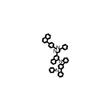 c1ccc(-c2cc(-c3cc(-n4c5ccccc5c5cc6c7ccccc7n(-c7ccccc7)c6cc54)c4ccccc4c3)nc(-c3ccc(-c4cccc5ccccc45)cc3)n2)cc1